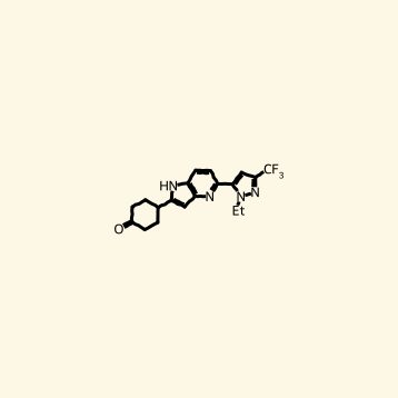 CCn1nc(C(F)(F)F)cc1-c1ccc2[nH]c(C3CCC(=O)CC3)cc2n1